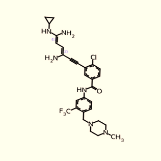 CN1CCN(Cc2ccc(NC(=O)c3ccc(Cl)c(C#C/C(N)=C/C=C(\N)NC4CC4)c3)cc2C(F)(F)F)CC1